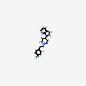 Fc1ccc(CCN2CCC(C3CCc4cccnc43)CC2)cc1